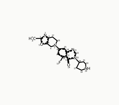 Cc1nc2c(o1)CN(c1cc(F)c3c(=O)n(C4CCNCC4)cnc3c1)CC2